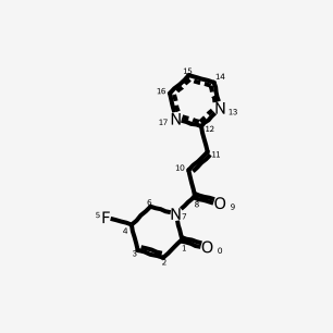 O=C1C=CC(F)CN1C(=O)/C=C/c1ncccn1